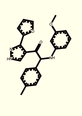 COc1cccc(NC(C(=O)c2c[nH]nc2-c2ccco2)c2ccc(C)cc2)c1